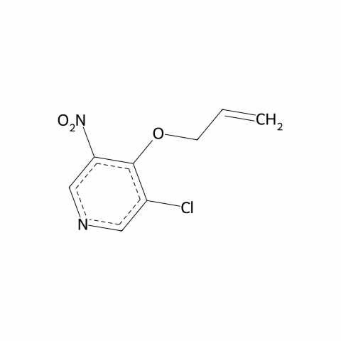 C=CCOc1c(Cl)cncc1[N+](=O)[O-]